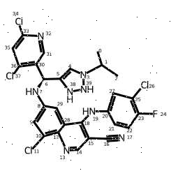 CC(C)N1C=C([C@@H](Nc2cc(Cl)c3ncc(C#N)c(Nc4ccc(F)c(Cl)c4)c3c2)c2cnc(Cl)cc2Cl)NN1